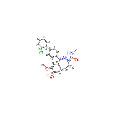 CNC(=O)N1N=C(c2ccc(-c3ccccc3Cl)cc2)c2cc(OC)c(OC)cc2CC1C